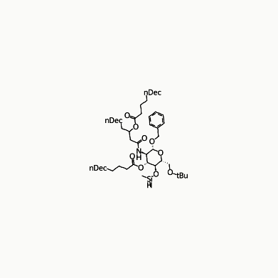 CCCCCCCCCCCCCC(=O)OC(CCCCCCCCCCC)CC(=O)N[C@H]1[C@H](OCc2ccccc2)O[C@H](COC(C)(C)C)[C@@H](O[SiH](C)C)[C@@H]1OC(=O)CCCCCCCCCCCCC